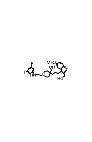 COc1ccc2ncc(CO)c(CCCC3(CO)CCN(CCNc4cc(F)cc(F)c4)CC3)c2c1